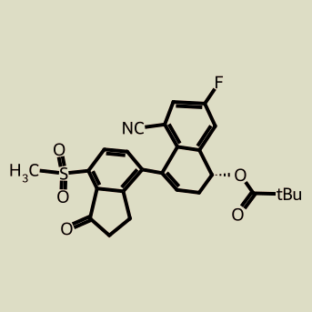 CC(C)(C)C(=O)O[C@@H]1CC=C(c2ccc(S(C)(=O)=O)c3c2CCC3=O)c2c(C#N)cc(F)cc21